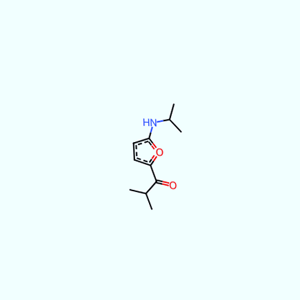 CC(C)Nc1ccc(C(=O)C(C)C)o1